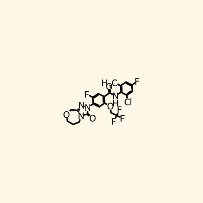 Cc1cc(F)cc(Cl)c1NC(=O)c1cc(F)c(-n2nc3n(c2=O)CCCOC3)cc1OCC(F)(F)F